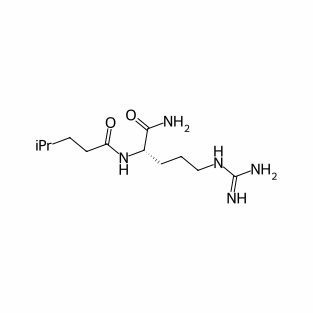 CC(C)CCC(=O)N[C@@H](CCCNC(=N)N)C(N)=O